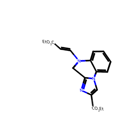 CCOC(=O)/C=C/N1Cc2nc(C(=O)OCC)cn2-c2ccccc21